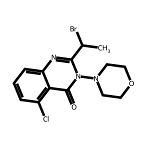 CC(Br)c1nc2cccc(Cl)c2c(=O)n1N1CCOCC1